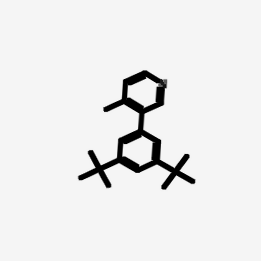 Cc1ccncc1-c1cc(C(C)(C)C)cc(C(C)(C)C)c1